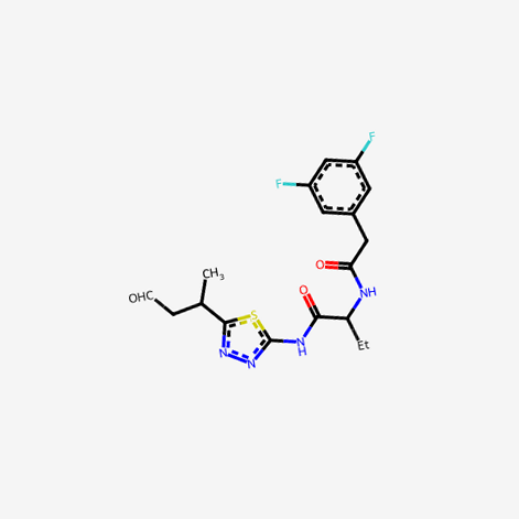 CCC(NC(=O)Cc1cc(F)cc(F)c1)C(=O)Nc1nnc(C(C)CC=O)s1